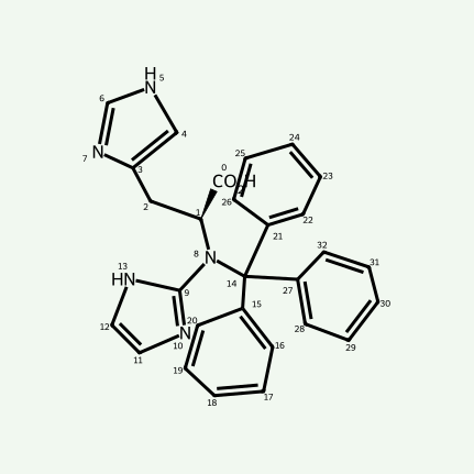 O=C(O)[C@H](Cc1c[nH]cn1)N(c1ncc[nH]1)C(c1ccccc1)(c1ccccc1)c1ccccc1